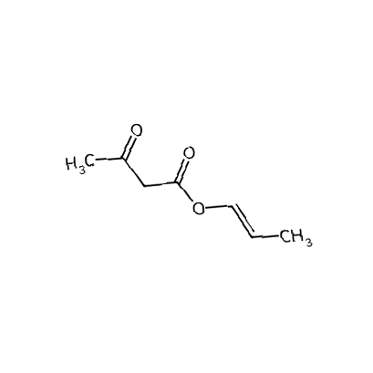 CC=COC(=O)CC(C)=O